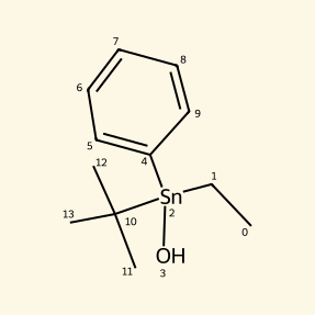 C[CH2][Sn]([OH])([c]1ccccc1)[C](C)(C)C